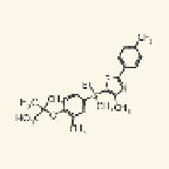 CCS(C)(c1ccc(OC(C)(C)C(=O)O)c(C)c1)c1sc(-c2ccc(C(F)(F)F)cc2)nc1C